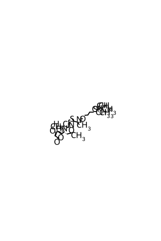 CCC[C@@H](NC(=O)[C@]1(C)CSC(/C(C)=N/OCCCCO[Si](C)(C)C(C)(C)C)=N1)c1cc(OC)cc(=O)o1